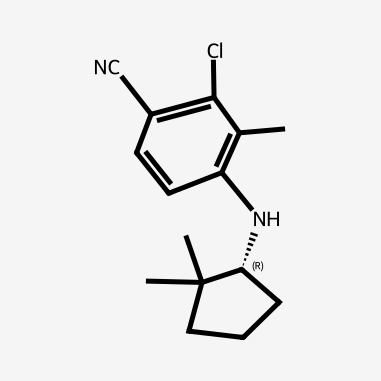 Cc1c(N[C@@H]2CCCC2(C)C)ccc(C#N)c1Cl